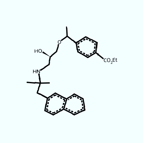 CCOC(=O)c1ccc(C(C)OC[C@H](O)CNC(C)(C)Cc2ccc3ccccc3c2)cc1